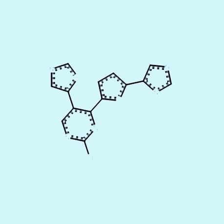 Clc1ncc(-c2cnco2)c(-c2ccc(-c3c[nH]cn3)o2)n1